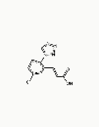 O=C(O)C=Cc1cc(Cl)ccc1-n1cnnn1